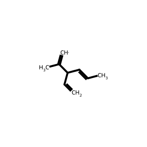 [CH]=C(C)C(C=C)C=CC